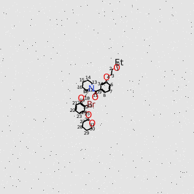 CCOCCOc1cccc(C(=O)N2CCCC[C@H]2COc2cccc(OC3CCCCO3)c2Br)c1